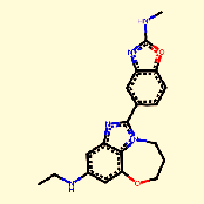 CCNc1cc2c3c(c1)nc(-c1ccc4oc(NC)nc4c1)n3CCCO2